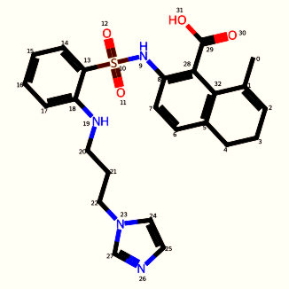 CC1=CCCc2ccc(NS(=O)(=O)c3ccccc3NCCCn3ccnc3)c(C(=O)O)c21